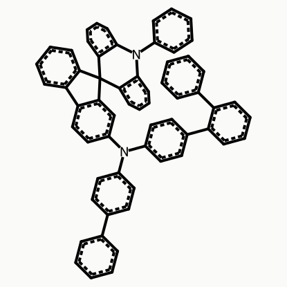 c1ccc(-c2ccc(N(c3ccc(-c4ccccc4-c4ccccc4)cc3)c3ccc4c(c3)C3(c5ccccc5-4)c4ccccc4N(c4ccccc4)c4ccccc43)cc2)cc1